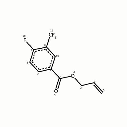 C=CCOC(=O)c1ccc(F)c(C(F)(F)F)c1